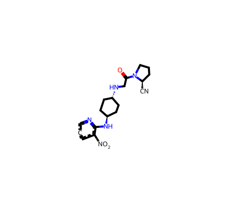 N#C[C@@H]1CCCN1C(=O)CN[C@H]1CC[C@H](Nc2ncccc2[N+](=O)[O-])CC1